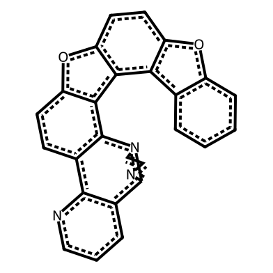 c1ccc2c(c1)oc1ccc3oc4ccc5c6ncccc6c6nccn6c5c4c3c12